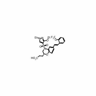 CCOc1nn(CC)cc1S(=O)(=O)N1C[C@H](CCC(=O)O)Oc2ccc(/C=C/c3ccccc3OC(F)(F)F)cc21